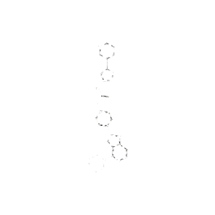 O=C(Nc1ccc(-c2cc3c(N4CCOCC4)nccc3[nH]2)cc1)Nc1cc(-c2cccnc2)no1